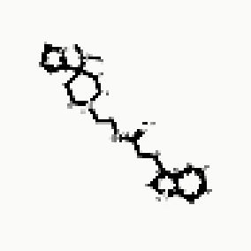 CN(C)C1(c2cccs2)CCN(CCNC(=O)CCc2c[nH]c3ccccc23)CC1